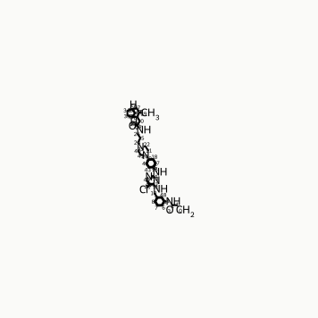 C=CC(=O)Nc1cccc(CNc2nc(Nc3ccc(N4CCN(CCCNC(=O)CC5[C@H]6CC[C@H](C6)C[C@H]5C)CC4)cc3)ncc2Cl)c1